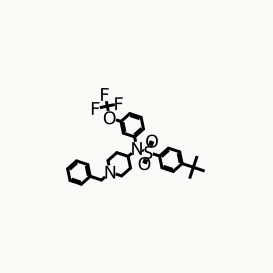 CC(C)(C)c1ccc(S(=O)(=O)N(c2cccc(OC(F)(F)F)c2)C2CCN(Cc3ccccc3)CC2)cc1